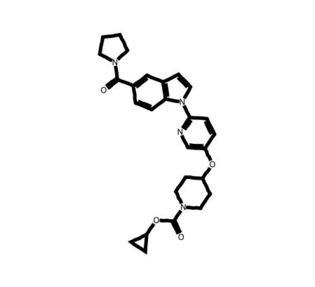 O=C(OC1CC1)N1CCC(Oc2ccc(-n3ccc4cc(C(=O)N5CCCC5)ccc43)nc2)CC1